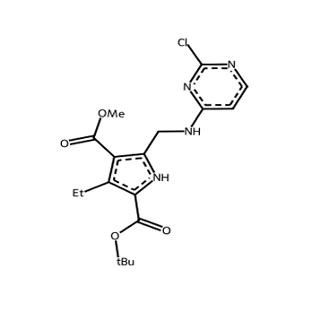 CCc1c(C(=O)OC(C)(C)C)[nH]c(CNc2ccnc(Cl)n2)c1C(=O)OC